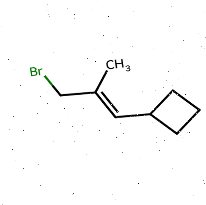 C/C(=C\C1CCC1)CBr